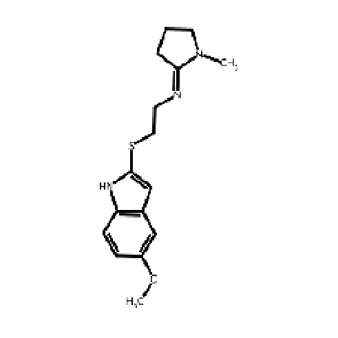 COc1ccc2[nH]c(SCCN=C3CCCN3C)cc2c1